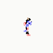 CN(C)c1nn(CC(=O)NC2CC(C)(O)C2)c(=O)c2cc3sccc3n12